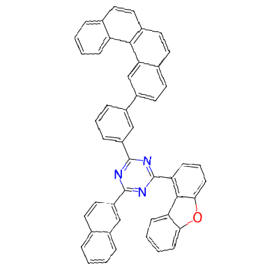 c1cc(-c2ccc3ccc4ccc5ccccc5c4c3c2)cc(-c2nc(-c3ccc4ccccc4c3)nc(-c3cccc4oc5ccccc5c34)n2)c1